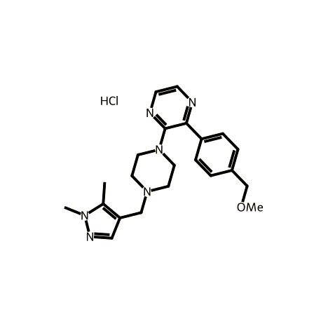 COCc1ccc(-c2nccnc2N2CCN(Cc3cnn(C)c3C)CC2)cc1.Cl